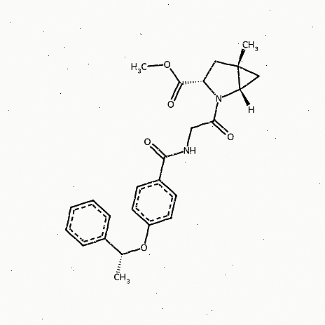 COC(=O)[C@@H]1C[C@]2(C)C[C@@H]2N1C(=O)CNC(=O)c1ccc(O[C@H](C)c2ccccc2)cc1